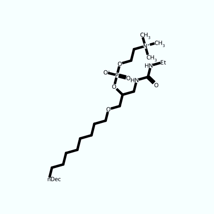 CCCCCCCCCCCCCCCCCCOCC(CNC(=O)NCC)OP(=O)([O-])OCC[N+](C)(C)C